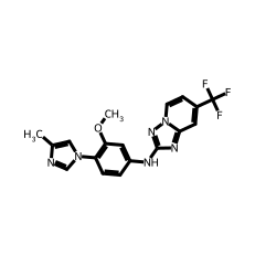 COc1cc(Nc2nc3cc(C(F)(F)F)ccn3n2)ccc1-n1cnc(C)c1